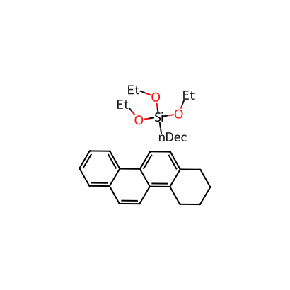 CCCCCCCCCC[Si](OCC)(OCC)OCC.c1ccc2c(c1)ccc1c3c(ccc12)CCCC3